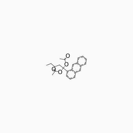 CCCCC(OC(C)=O)(OC(C)=O)c1cccc2cc3ccccc3cc12